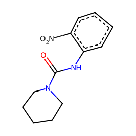 O=C(Nc1ccccc1[N+](=O)[O-])N1CCCCC1